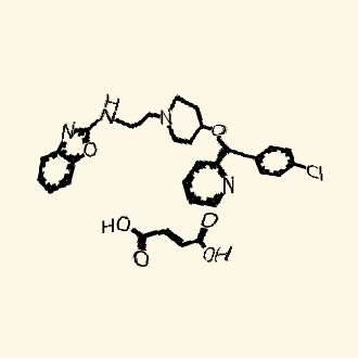 Clc1ccc(C(OC2CCN(CCNc3nc4ccccc4o3)CC2)c2ccccn2)cc1.O=C(O)/C=C/C(=O)O